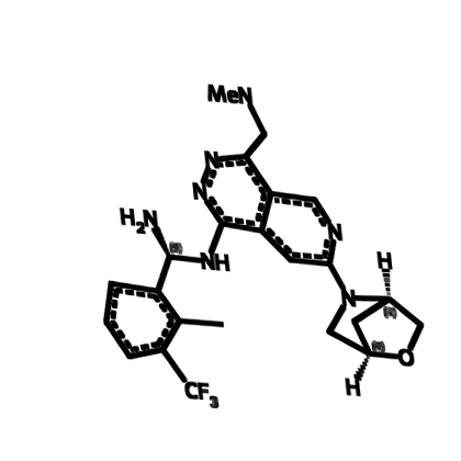 CNCc1nnc(N[C@H](N)c2cccc(C(F)(F)F)c2C)c2cc(N3C[C@H]4C[C@@H]3CO4)ncc12